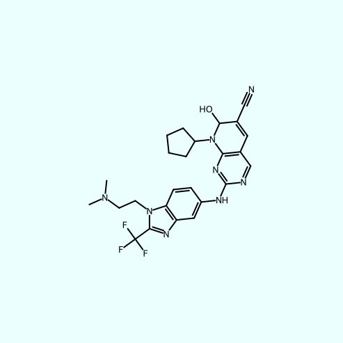 CN(C)CCn1c(C(F)(F)F)nc2cc(Nc3ncc4c(n3)N(C3CCCC3)C(O)C(C#N)=C4)ccc21